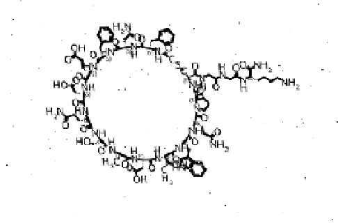 C[C@@H]1NC(=O)[C@H](CO)NC(=O)[C@H](CCC(N)=O)NC(=O)[C@H](CC(=O)O)NC(=O)[C@H](CCC(=O)O)NC(=O)[C@H](Cc2ccccc2)NC(=O)[C@H](CC(N)=O)NC(=O)[C@H](Cc2ccccc2)NC(=O)CSC[C@@H](C(=O)NCC(=O)NCC(=O)N[C@@H](CCCCN)C(N)=O)NC(=O)[C@@H]2CCCN2C(=O)[C@H](CCC(N)=O)NC(=O)[C@H](Cc2c[nH]c3ccccc23)NC(=O)[C@H]([C@@H](C)O)NC(=O)[C@H](CC(=O)O)NC1=O